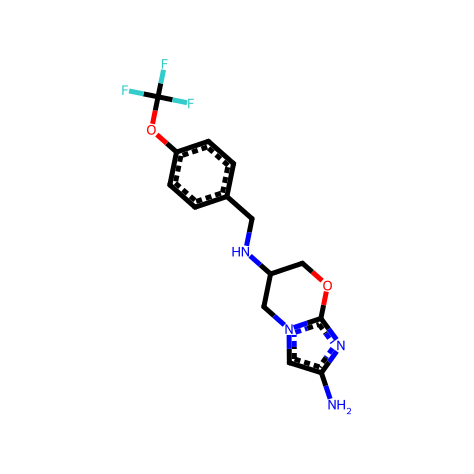 Nc1cn2c(n1)OCC(NCc1ccc(OC(F)(F)F)cc1)C2